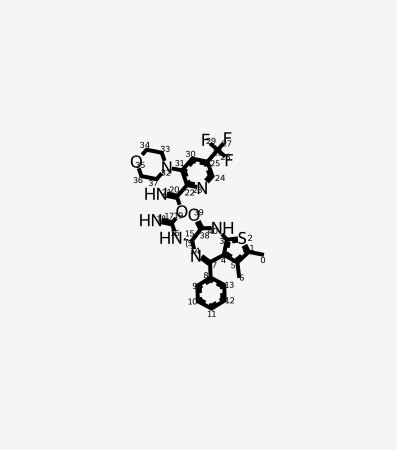 Cc1sc2c(c1C)C(c1ccccc1)=N[C@H](NC(=N)OC(=N)c1ncc(C(F)(F)F)cc1N1CCOCC1)C(=O)N2